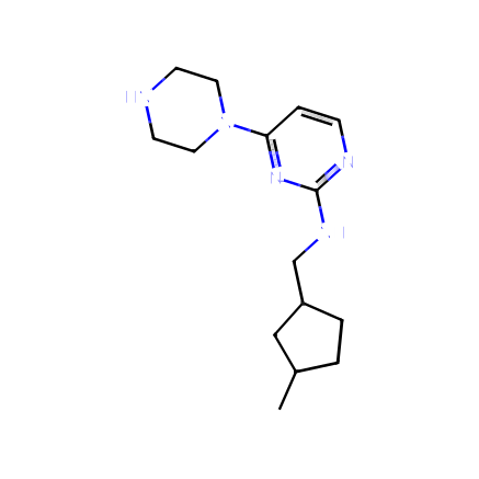 CC1CCC(CNc2nccc(N3CCNCC3)n2)C1